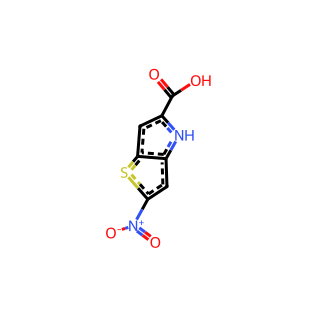 O=C(O)c1cc2sc([N+](=O)[O-])cc2[nH]1